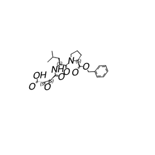 CC(C)C[C@H](NC(=O)[C@H]1O[C@@H]1C(=O)O)C(=O)N1CCC[C@H]1C(=O)OCc1ccccc1